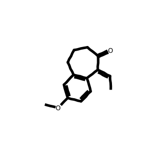 C/C=C1/C(=O)CCCc2cc(OC)ccc21